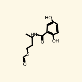 CC(CCSC=O)NC(=O)c1cc(O)ccc1O